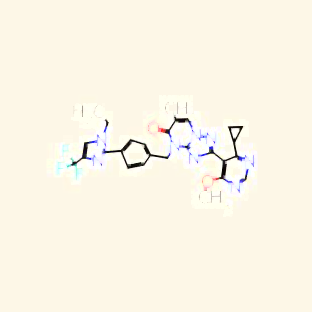 CCn1cc(C(F)(F)F)nc1-c1ccc(Cn2c(=O)c(C)cn3nc(-c4c(OC)ncnc4C4CC4)nc23)cc1